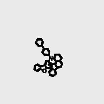 CC1(C)c2ccccc2-c2ccc3cccc(N(c4ccc(-c5ccccc5)cc4)c4ccc5oc6ccccc6c5c4)c3c21